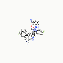 N#Cc1cccc(NC(=O)NCC(CCC2(Cc3ccc(F)cc3)CCNCC2)C2(Cc3ccc(F)cc3)CCNCC2)c1